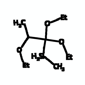 CCOC(C)C(OCC)(OCC)[SiH2]C